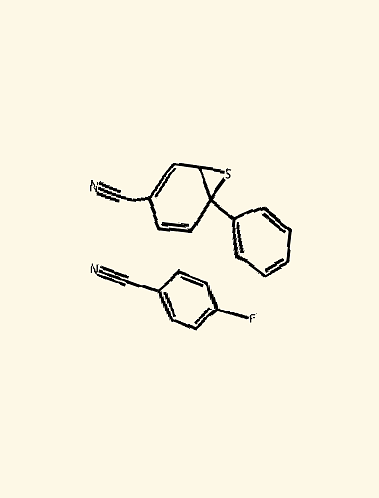 N#CC1=CC2SC2(c2ccccc2)C=C1.N#Cc1ccc(F)cc1